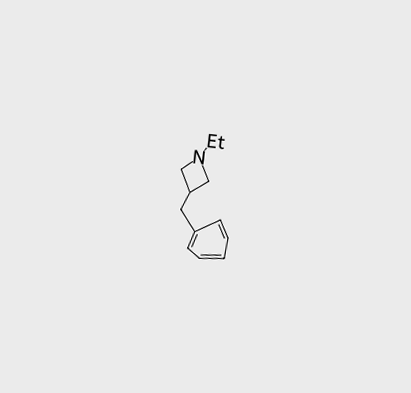 CCN1CC(Cc2ccccc2)C1